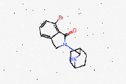 O=C1c2c(Br)cccc2CN1C1NC2CCC1CC2